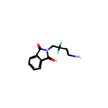 NCCC(F)(F)CN1C(=O)c2ccccc2C1=O